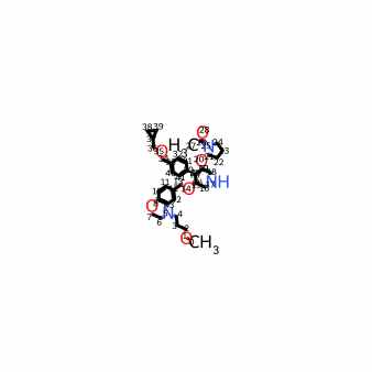 COCCCN1CCOc2ccc(CO[C@H]3CNC[C@@H](OC4CCCN4C(C)=O)[C@@H]3c3ccc(COCC4CC4)cc3)cc21